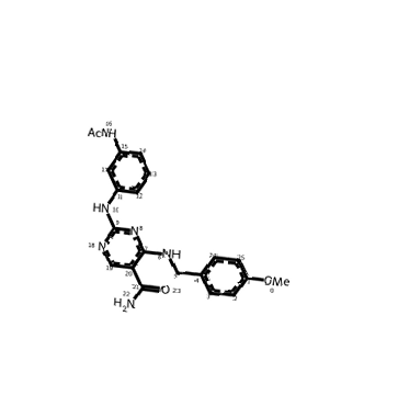 COc1ccc(CNc2nc(Nc3cccc(NC(C)=O)c3)ncc2C(N)=O)cc1